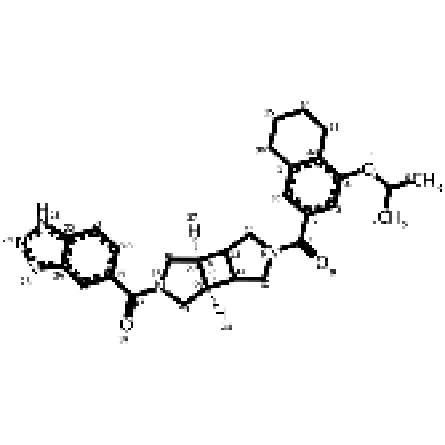 CC(C)Oc1cc(C(=O)N2CC3C(C2)[C@@H]2CN(C(=O)c4ccc5[nH]nnc5c4)C[C@H]32)cc2c1CCCC2